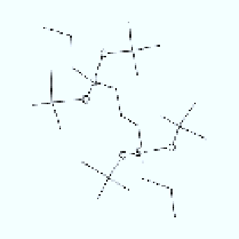 CCC[Si](CCC[Si](CCC)(OC(C)(C)C)OC(C)(C)C)(OC(C)(C)C)OC(C)(C)C